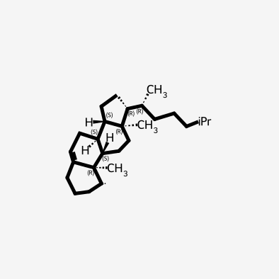 CC(C)CCC[C@@H](C)[C@H]1CC[C@H]2[C@@H]3CC=C4CCC[CH][C@]4(C)[C@H]3CC[C@]12C